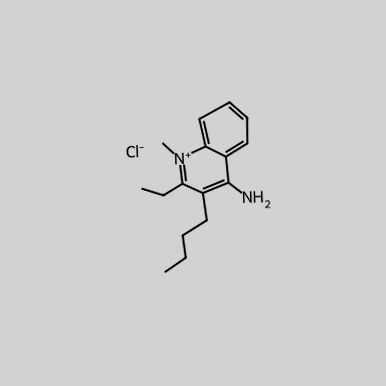 CCCCc1c(N)c2ccccc2[n+](C)c1CC.[Cl-]